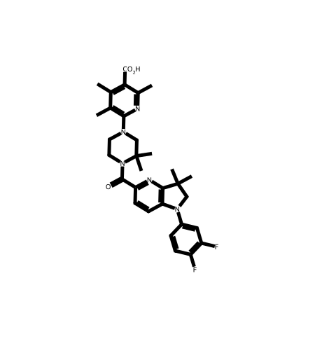 Cc1nc(N2CCN(C(=O)c3ccc4c(n3)C(C)(C)CN4c3ccc(F)c(F)c3)C(C)(C)C2)c(C)c(C)c1C(=O)O